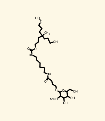 CC(=O)NC1C(OCCCC(=O)NCCCCCCNC(=O)OCCCC(C)(CCCO)CCCOO)OC(CO)C(O)C1O